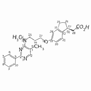 Cc1cnc(-c2ccccc2)nc1N(C)CCCOc1ccc2c(c1)CC[C@H]2CC(=O)O